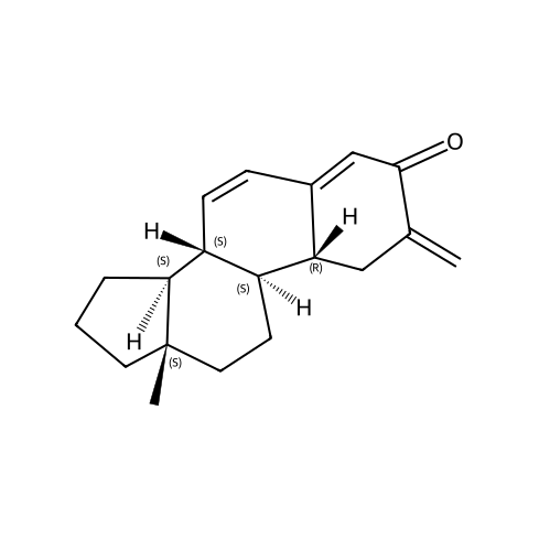 C=C1C[C@H]2C(=CC1=O)C=C[C@@H]1[C@@H]2CC[C@]2(C)CCC[C@@H]12